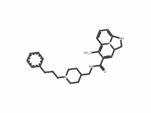 O=C(NCC1CCN(CCCc2ccccc2)CC1)C1=CC2CNC3=CC=CC(=C1S(=O)(=O)O)N32